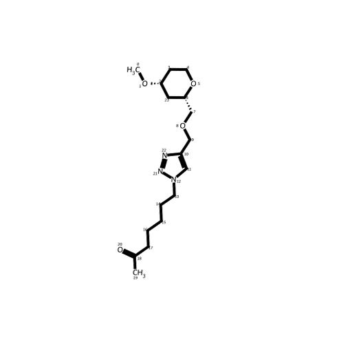 CO[C@@H]1CCO[C@H](COCc2cn(CCCCCC(C)=O)nn2)C1